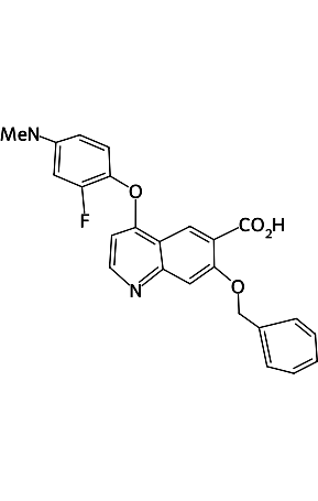 CNc1ccc(Oc2ccnc3cc(OCc4ccccc4)c(C(=O)O)cc23)c(F)c1